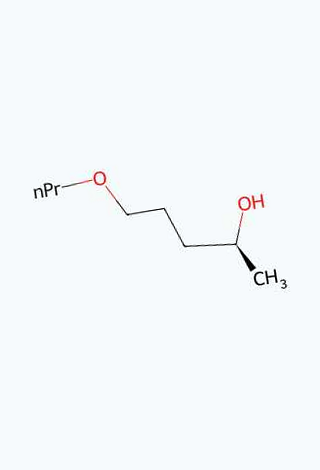 CCCOCCC[C@H](C)O